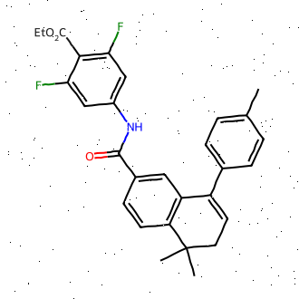 CCOC(=O)c1c(F)cc(NC(=O)c2ccc3c(c2)C(c2ccc(C)cc2)=CCC3(C)C)cc1F